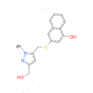 CC(C)n1nc(CO)cc1CSc1cc(O)c2ccccc2c1